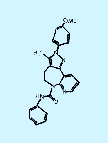 COc1ccc(-n2nc3c(c2C)CCN(C(=O)Nc2ccccc2)c2ncccc2-3)cc1